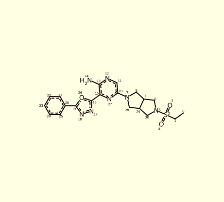 CCS(=O)(=O)N1CC2CN(c3cnc(N)c(-c4nnc(-c5ccccc5)o4)n3)CC2C1